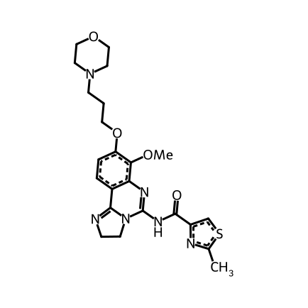 COc1c(OCCCN2CCOCC2)ccc2c1N=C(NC(=O)c1csc(C)n1)N1CCN=C21